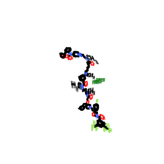 CN(CCN1CCC(N(C(=O)O)c2ccccc2-c2ccccc2)CC1)C(=O)CCCCCN(C)c1cccc(C(=O)N(C)CCCN(C)C(=O)CO[C@H]2Cc3ccccc3C23CCN(CC[C@]2(c4ccc(F)cc4)CN(C(=O)c4cc(C(F)(F)F)cc(C(F)(F)F)c4)CO2)CC3)c1.Cl.Cl.Cl